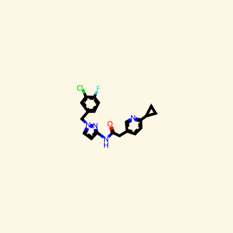 O=C(Cc1ccc(C2CC2)nc1)Nc1ccn(Cc2ccc(F)c(Cl)c2)n1